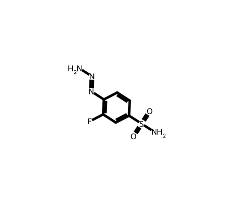 N/N=N/c1ccc(S(N)(=O)=O)cc1F